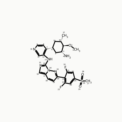 CO[C@H]1[C@H](N)C[C@H](c2ccncc2Nc2ncc3ccc(-c4c(F)cc(S(C)(=O)=O)cc4F)nn23)C[C@@H]1C